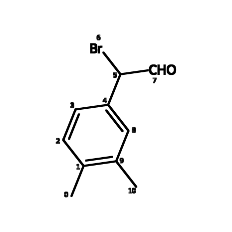 Cc1ccc(C(Br)C=O)cc1C